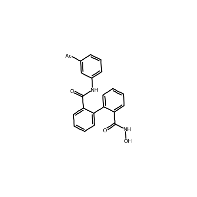 CC(=O)c1cccc(NC(=O)c2ccccc2-c2ccccc2C(=O)NO)c1